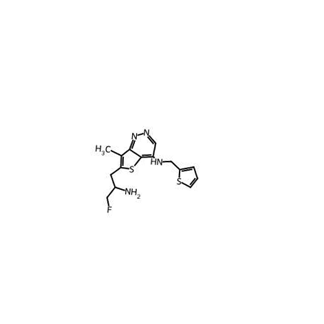 Cc1c(CC(N)CF)sc2c(NCc3cccs3)cnnc12